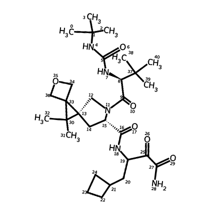 CC(C)(C)NC(=O)N[C@H](C(=O)N1C[C@]2(C[C@H]1C(=O)NC(CC1CCC1)C(=O)C(N)=O)C(C)(C)C21COC1)C(C)(C)C